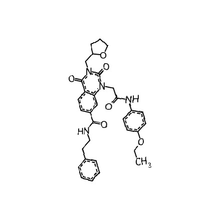 CCOc1ccc(NC(=O)Cn2c(=O)n(CC3CCCO3)c(=O)c3ccc(C(=O)NCCc4ccccc4)cc32)cc1